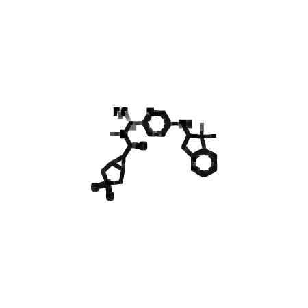 CN(C(=O)C1C2CS(=O)(=O)CC21)[C@@H](c1ccc(NC2Cc3ccccc3C2(C)C)cn1)C(F)(F)F